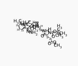 COC(=O)CC[C@H](NC(=O)OC(C)(C)C)C(=O)NCCN/N=C\C(C)(C)C(C)(C)/C(=N\N)c1cccc(C)n1